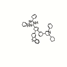 C1=CCCC(C2=CC(C3C=C(C4=CC=C(C5NC(C6C=CC=CC6)=NC(C6=CCCC=C6)N5)CC4C4=CCC5Sc6ccccc6C5=C4)C=CC3)CC(C3CCCCC3)=N2)=C1